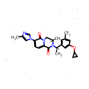 Cc1cn(-c2ccc3n(c2=O)C[C@@H](C)N([C@H](C)c2cc(OC4CC4)cc(C(F)(F)F)c2)C3=O)cn1